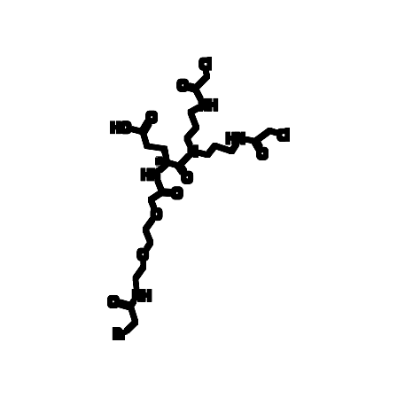 O=C(O)CC[C@H](NC(=O)COCCOCCNC(=O)CBr)C(=O)N(CCCNC(=O)CCl)CCCNC(=O)CCl